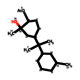 CC(=O)OC1CCC(C(C)(C)C2CCCC(C)C2)CC1(C)O